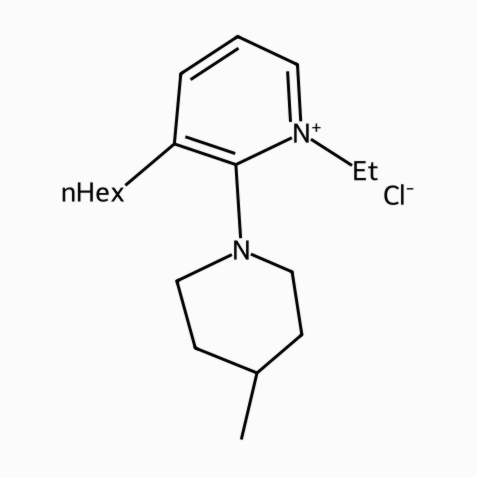 CCCCCCc1ccc[n+](CC)c1N1CCC(C)CC1.[Cl-]